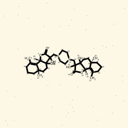 CC1=C2[C@@H]3OC(=O)C(O)(CN4CCN(CC5(O)C(=O)O[C@H]6C7=C(C)CCC[C@]7(C)CCC65O)CC4)C3(O)CC[C@]2(C)CCC1